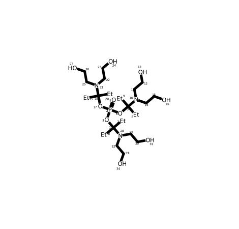 CCC(CC)(OP(=O)(OC(CC)(CC)N(CCO)CCO)OC(CC)(CC)N(CCO)CCO)N(CCO)CCO